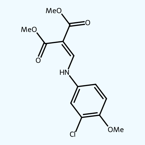 COC(=O)C(=CNc1ccc(OC)c(Cl)c1)C(=O)OC